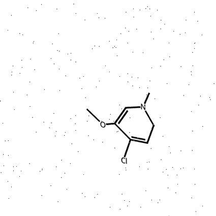 COC1=CN(C)CC=C1Cl